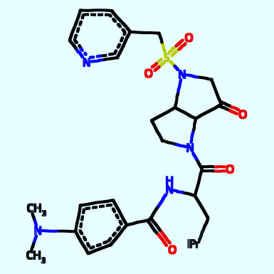 CC(C)CC(NC(=O)c1ccc(N(C)C)cc1)C(=O)N1CCC2C1C(=O)CN2S(=O)(=O)Cc1cccnc1